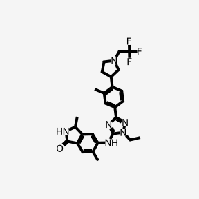 CCn1nc(-c2ccc(C3CCN(CC(F)(F)F)C3)c(C)c2)nc1Nc1cc2c(cc1C)C(=O)NC2C